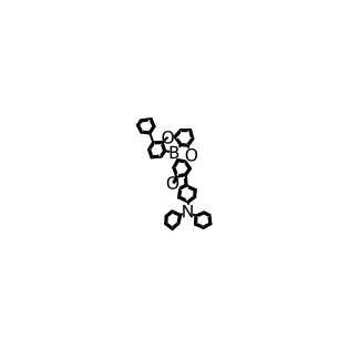 c1ccc(-c2cccc3c2Oc2cccc4c2B3c2cc3oc5cc(N(c6ccccc6)c6ccccc6)ccc5c3cc2O4)cc1